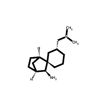 CN(C)C[C@@H]1CCC[C@]2(C1)[C@@H]1CC[C@@H](C1)[C@@H]2N